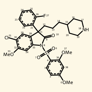 COc1ccc(S(=O)(=O)N2C(=O)C(CCCC3CCNCC3)(c3ccccc3F)c3cc(Cl)c(OC)cc32)c(OC)c1